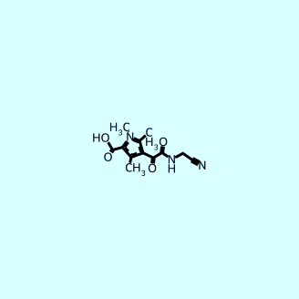 Cc1c(C(=O)C(=O)NCC#N)c(C)n(C)c1C(=O)O